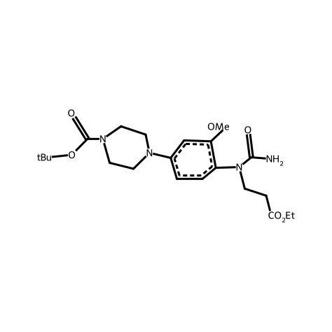 CCOC(=O)CCN(C(N)=O)c1ccc(N2CCN(C(=O)OC(C)(C)C)CC2)cc1OC